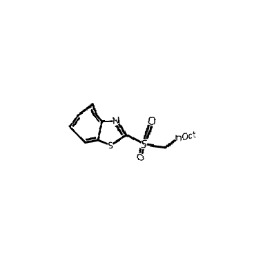 CCCCCCCCCS(=O)(=O)c1nc2ccccc2s1